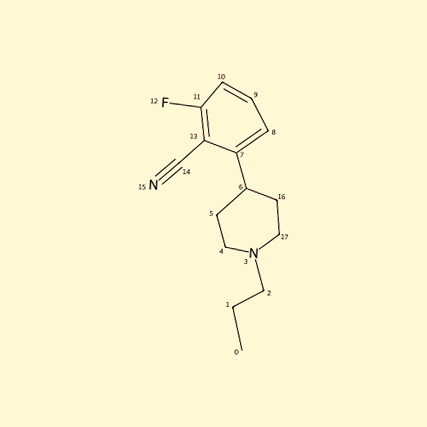 CCCN1CCC(c2cccc(F)c2C#N)CC1